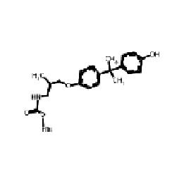 CC(CNC(=O)OC(C)(C)C)COc1ccc(C(C)(C)c2ccc(O)cc2)cc1